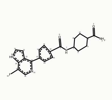 NC(=O)C1CCC(NC(=O)c2ccc(-c3ncc(F)c4[nH]ccc34)cc2)CC1